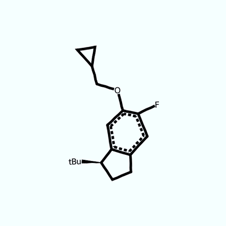 CC(C)(C)[C@@H]1CCc2cc(F)c(OCC3CC3)cc21